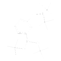 CC(C)(C)OP(OC(C)(C)C)c1cccc(OP(C(C)(C)C)C(C)(C)C)c1